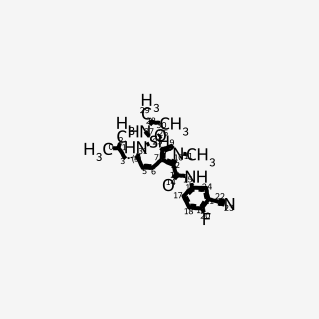 CC(C)C[C@H]1C=Cc2c(cn(C)c2C(=O)Nc2ccc(F)c(C#N)c2)[SH](=O)(NC(C)C)N1